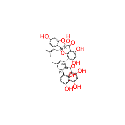 CC(C)=CC[C@@]12Oc3c(c(O)cc(O)c3[C@H]3C=C(C)C[C@H](c4ccc(O)cc4O)[C@H]3C(=O)c3ccc(O)cc3O)C(=O)[C@]1(O)Oc1cc(O)ccc12